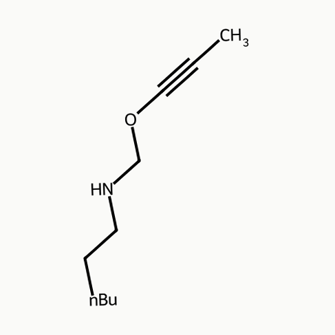 CC#COCNCCCCCC